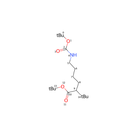 CC(C)(C)OC(=O)NCCCCC(C(=O)OC(C)(C)C)C(C)(C)C